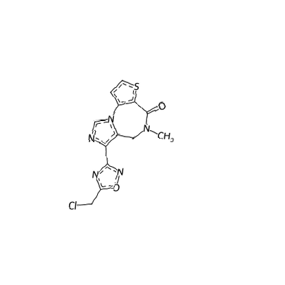 CN1Cc2c(-c3noc(CCl)n3)ncn2-c2ccsc2C1=O